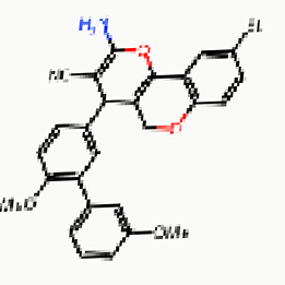 CCc1ccc2c(c1)C1=C(CO2)C(c2ccc(OC)c(-c3cccc(OC)c3)c2)C(C#N)=C(N)O1